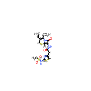 C=CC1=C(C(=O)O)N2C(=O)C(NC(=O)Cc3csc(NS(C)(=O)=O)n3)[C@@H]2SC1